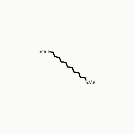 CCCCCCCCCCCCCCCCCC[CH]SC